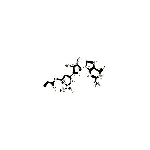 C=CC(=O)NCCC(OP(=O)(O)O)[C@@H]1O[C@@H](n2cnc3c(=O)[nH]c(N)nc32)[C@H](O)[C@@H]1O